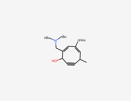 CCCCCCC1=C/C(C)C#CC(O)/C(CN(CCCC)CCCC)=C\1